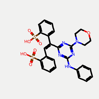 O=S(=O)(O)c1ccccc1C=C(c1nc(Nc2ccccc2)nc(N2CCOCC2)n1)c1ccccc1S(=O)(=O)O